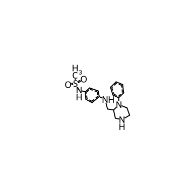 CS(=O)(=O)Nc1ccc(NCC2CNCCN2c2ccccc2)cc1